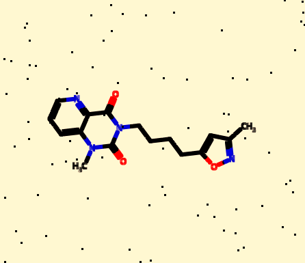 Cc1cc(CCCCn2c(=O)c3ncccc3n(C)c2=O)on1